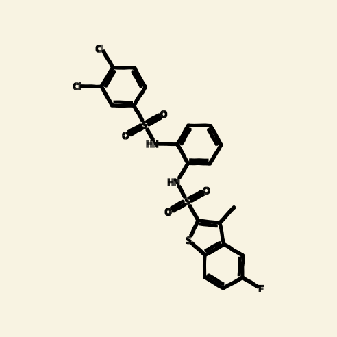 Cc1c(S(=O)(=O)Nc2ccccc2NS(=O)(=O)c2ccc(Cl)c(Cl)c2)sc2ccc(F)cc12